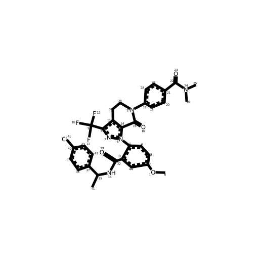 COc1ccc(-n2nc(C(F)(F)F)c3c2C(=O)N(c2ccc(C(=O)N(C)C)cc2)CC3)c(C(=O)NC(C)c2ccc(Cl)cc2)c1